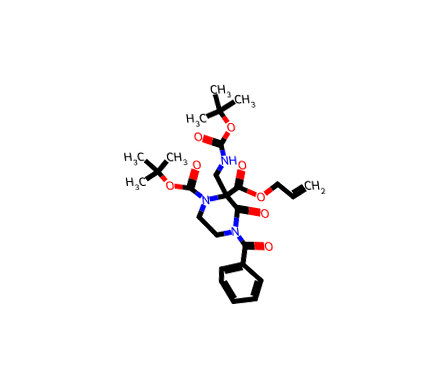 C=CCOC(=O)C1(CNC(=O)OC(C)(C)C)C(=O)N(C(=O)c2ccccc2)CCN1C(=O)OC(C)(C)C